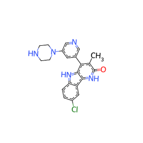 Cc1c(-c2cncc(N3CCNCC3)c2)c2[nH]c3ccc(Cl)cc3c2[nH]c1=O